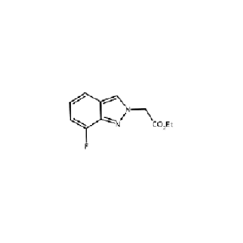 CCOC(=O)Cn1cc2cccc(F)c2n1